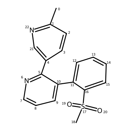 Cc1ccc(-c2ncccc2-c2ccccc2S(C)(=O)=O)cn1